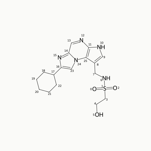 O=S(=O)(CCO)NCc1c[nH]c2ncc3nc(C4CCCCC4)cn3c12